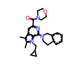 Cc1c(C)n(CC2CC2)c2c(N3CCc4ccccc4C3)nc(C(=O)N3CCOCC3)cc12